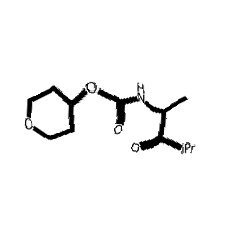 CC(C)C(=O)C(C)NC(=O)OC1CCOCC1